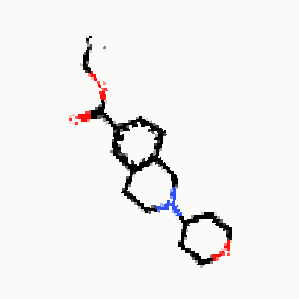 CCOC(=O)c1ccc2c(c1)CCN(C1CCOCC1)C2